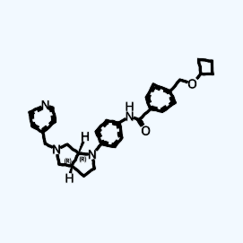 O=C(Nc1ccc(N2CC[C@@H]3CN(Cc4ccncc4)C[C@@H]32)cc1)c1ccc(COC2CCC2)cc1